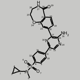 CN(C1CC1)S(=O)(=O)c1ccc(-c2cnc(N)c(-c3ccc4c(c3)OCCNC4=O)n2)cc1